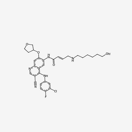 N#Cc1cnc2cc(OC3CCOC3)c(NC(=O)/C=C/CNCCCCCCO)cc2c1Nc1ccc(F)c(Cl)c1